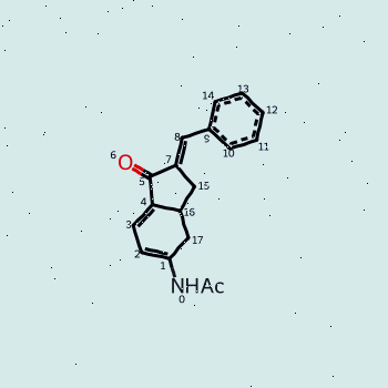 CC(=O)NC1=CC=C2C(=O)C(=Cc3ccccc3)CC2C1